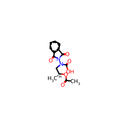 CC(=O)O[C@H](C)CN(C(=O)O)N1C(=O)c2ccccc2C1=O